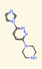 c1cn(-c2ccc(N3CCNCC3)nn2)cn1